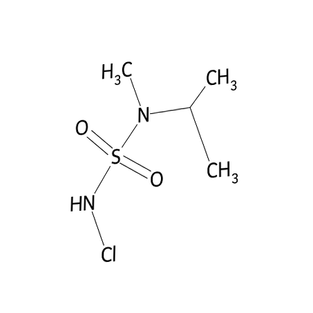 CC(C)N(C)S(=O)(=O)NCl